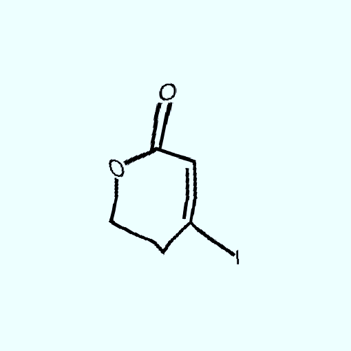 O=C1C=C(I)CCO1